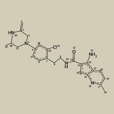 C=C1CN(c2ccc(CCNC(=O)c3sc4nc(C)ccc4c3N)c(Cl)c2)CC(C)N1